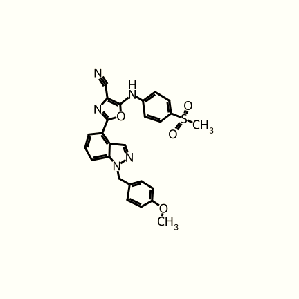 COc1ccc(Cn2ncc3c(-c4nc(C#N)c(Nc5ccc(S(C)(=O)=O)cc5)o4)cccc32)cc1